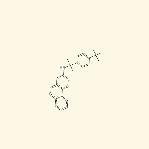 CC(C)(C)c1ccc(C(C)(C)Nc2ccc3c(ccc4ccccc43)c2)cc1